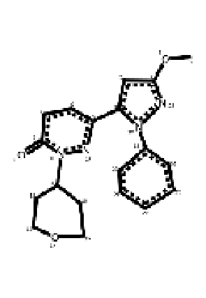 COc1cc(-c2ccc(=O)n(C3CCOCC3)n2)n(-c2ccccc2)n1